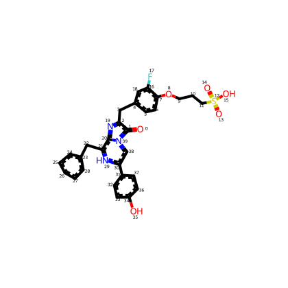 O=c1c(Cc2ccc(OCCCS(=O)(=O)O)c(F)c2)nc2c(Cc3ccccc3)[nH]c(-c3ccc(O)cc3)cn1-2